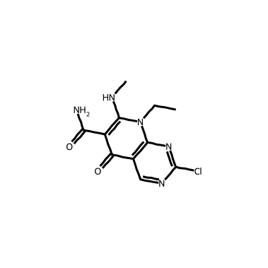 CCn1c(NC)c(C(N)=O)c(=O)c2cnc(Cl)nc21